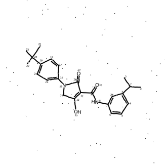 CC(C)c1cccc(NC(=O)C2=C(O)CN(c3ccc(C(C)(C)C)cc3)C2=O)c1